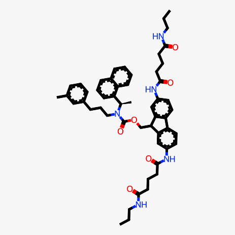 CCCNC(=O)CCCC(=O)Nc1ccc2c(c1)C(COC(=O)N(CCCc1cccc(C)c1)[C@H](C)c1cccc3ccccc13)c1cc(NC(=O)CCCC(=O)NCCC)ccc1-2